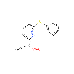 C#CC(O)c1cccc(Sc2ccccc2)n1